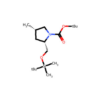 C[C@H]1C[C@@H](CO[Si](C)(C)C(C)(C)C)N(C(=O)OC(C)(C)C)C1